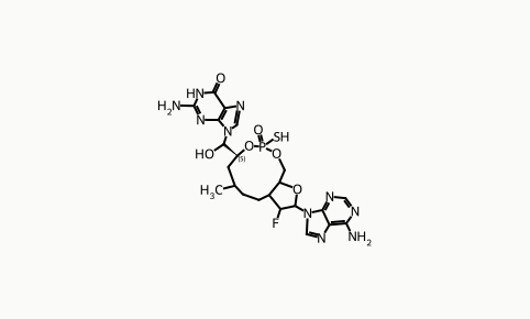 CC1CCC2C(COP(=O)(S)O[C@H](C(O)n3cnc4c(=O)[nH]c(N)nc43)C1)OC(n1cnc3c(N)ncnc31)C2F